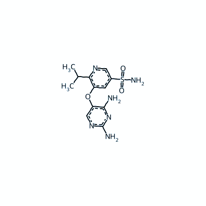 CC(C)c1ncc(S(N)(=O)=O)cc1Oc1cnc(N)nc1N